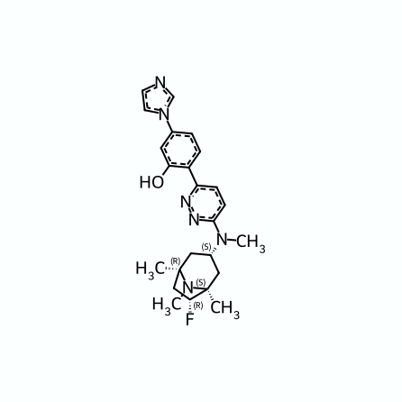 CN(c1ccc(-c2ccc(-n3ccnc3)cc2O)nn1)[C@H]1C[C@]2(C)C[C@@H](F)[C@](C)(C1)N2C